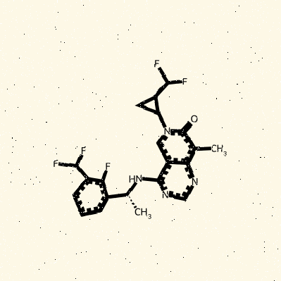 Cc1c(=O)n(C2CC2C(F)F)cc2c(N[C@H](C)c3cccc(C(F)F)c3F)ncnc12